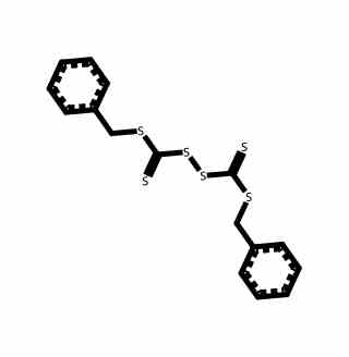 S=C(SCc1ccccc1)SSC(=S)SCc1ccccc1